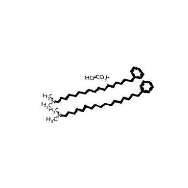 CN(C)CCCCCCCCCCCCCCCCCc1ccccc1.CN(C)CCCCCCCCCCCCCCCCCc1ccccc1.O=C(O)O